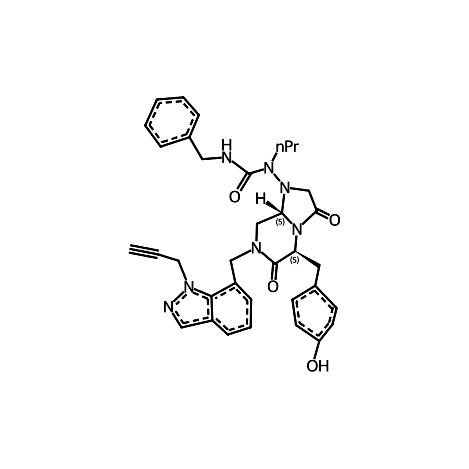 C#CCn1ncc2cccc(CN3C[C@H]4N(C(=O)CN4N(CCC)C(=O)NCc4ccccc4)[C@@H](Cc4ccc(O)cc4)C3=O)c21